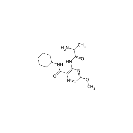 COc1cnc(C(=O)NC2CCCCC2)c(NC(=O)C(C)N)n1